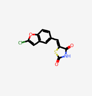 O=C1NC(=O)C(=Cc2ccc3oc(Cl)cc3c2)S1